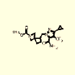 CC(C)(C)OC(=O)N1CC2(CCC2Cn2nc(C3CC3)c(C(F)(F)F)c2C(N)=O)C1